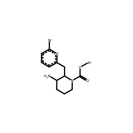 CC(C)OC(=O)N1CCCC(N)C1Cc1cccc(Br)n1